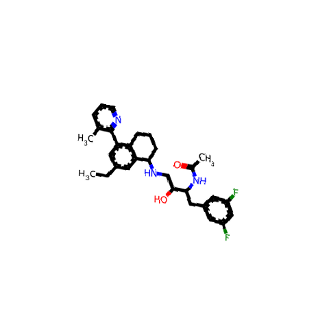 CCc1cc(-c2ncccc2C)c2c(c1)C(NCC(O)C(Cc1cc(F)cc(F)c1)NC(C)=O)CCC2